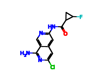 Nc1nc(Cl)cc2cc(NC(=O)C3CC3F)ncc12